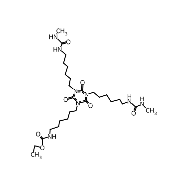 CCOC(=O)NCCCCCCn1c(=O)n(CCCCCCNC(=O)NC)c(=O)n(CCCCCCNC(=O)NC)c1=O